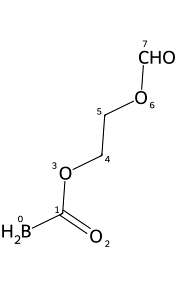 BC(=O)OCCOC=O